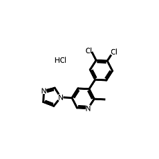 Cc1ncc(-n2ccnc2)cc1-c1ccc(Cl)c(Cl)c1.Cl